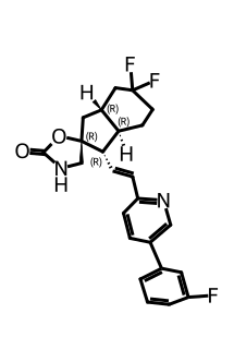 O=C1NC[C@]2(C[C@@H]3CC(F)(F)CC[C@H]3[C@@H]2C=Cc2ccc(-c3cccc(F)c3)cn2)O1